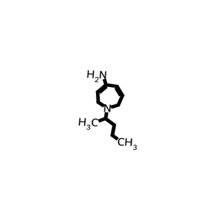 CCCC(C)N1CC=CC(N)=CC1